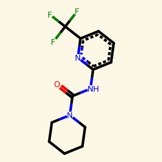 O=C(Nc1cccc(C(F)(F)F)n1)N1CCCCC1